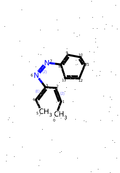 C\C=C/C(=C\C)/N=N\c1ccccc1